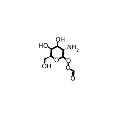 N[C@@H]1C(OOC=O)O[C@@H](CO)[C@@H](O)[C@H]1O